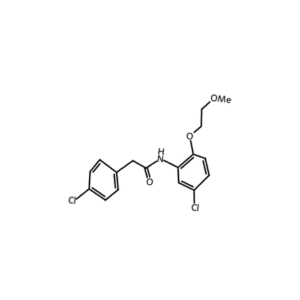 COCCOc1ccc(Cl)cc1NC(=O)Cc1ccc(Cl)cc1